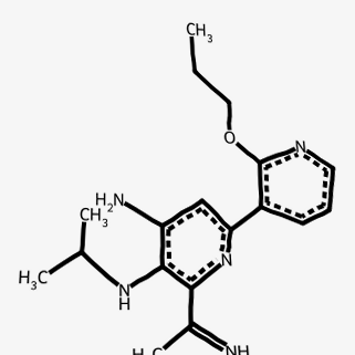 CCCOc1ncccc1-c1cc(N)c(NC(C)C)c(C(C)=N)n1